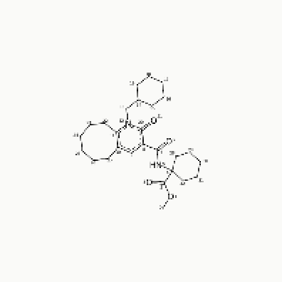 COC(=O)C1(NC(=O)c2cc3c(n(CC4CCCCC4)c2=O)CCCCCC3)CCCCC1